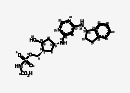 O=C(O)NS(=O)(=O)OC[C@H]1C[C@@H](Nc2cc(N[C@H]3CCc4ccccc43)ncn2)C[C@@H]1O